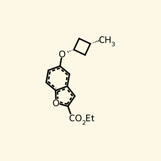 CCOC(=O)c1cc2cc(O[C@H]3C[C@@H](C)C3)ccc2o1